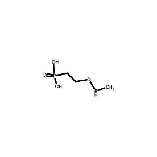 CBOCCP(=O)(O)O